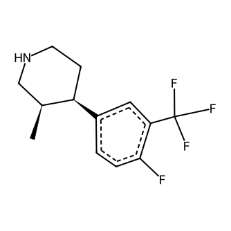 C[C@H]1CNCC[C@H]1c1ccc(F)c(C(F)(F)F)c1